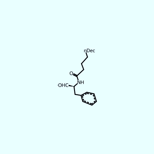 CCCCCCCCCCCCCC(=O)N[C@H]([C]=O)Cc1ccccc1